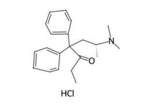 CCC(=O)C(C[C@@H](C)N(C)C)(c1ccccc1)c1ccccc1.Cl